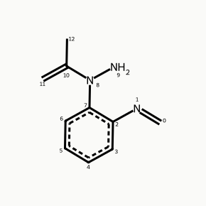 C=Nc1ccccc1N(N)C(=C)C